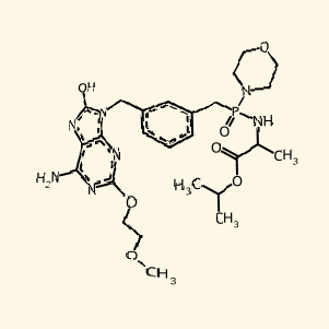 COCCOc1nc(N)c2nc(O)n(Cc3cccc(CP(=O)(NC(C)C(=O)OC(C)C)N4CCOCC4)c3)c2n1